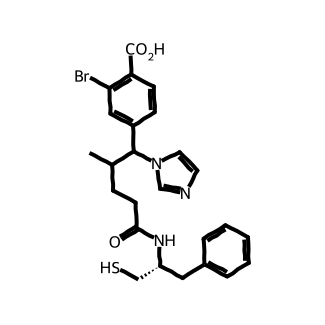 CC(CCC(=O)N[C@@H](CS)Cc1ccccc1)C(c1ccc(C(=O)O)c(Br)c1)n1ccnc1